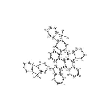 CC1(C)c2ccccc2-c2ccc(-n3c4ccccc4c4c5c6ccccc6c6c7ccccc7n(-c7ccc8c(c7)C(C)(C)c7ccccc7-8)c6c5c5ccccc5c43)cc21